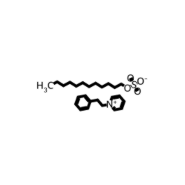 CCCCCCCCCCCCOS(=O)(=O)[O-].c1ccc(CC[n+]2ccccc2)cc1